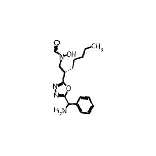 CCCCC[C@@H](CN(O)C=O)c1nnc(C(N)c2ccccc2)o1